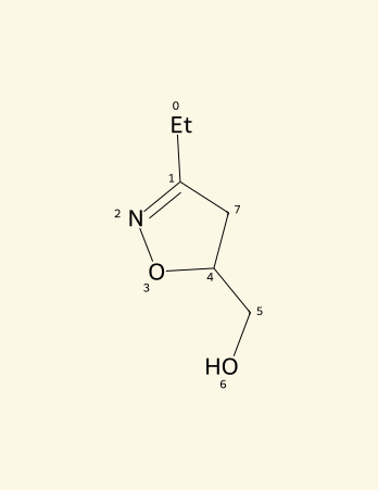 CCC1=NOC(CO)C1